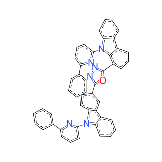 c1ccc(-c2cccc(-n3c4ccccc4c4cc(-c5nnc(-c6cccc7c8ccccc8n(-c8cccc(-c9ccccc9)n8)c67)o5)ccc43)n2)cc1